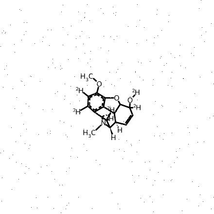 [2H]OC1([2H])C=C[C@H]2[C@@H]3N(C)CC[C@@]24c2c(c(OC)c([2H])c([2H])c2C3([2H])[2H])OC14